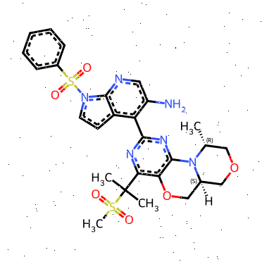 C[C@@H]1COC[C@H]2COc3c(nc(-c4c(N)cnc5c4ccn5S(=O)(=O)c4ccccc4)nc3C(C)(C)S(C)(=O)=O)N21